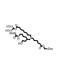 CCCCCCCCCCCOC(=O)CCCCCN(CCCCCCCC(=O)OC(CCCCCCCC)CCCCCCCC)CC(CCO)CCCCNC(=O)NC